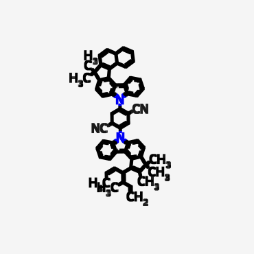 C=C/C(C)=C(/C=C\C)C1=C(C)C(C)(C)c2ccc3c(c21)c1ccccc1n3C1=CC(C#N)=C(n2c3ccccc3c3c4c(ccc32)C(C)(C)C2=C4C3C=CC=CC3C=C2)CC1C#N